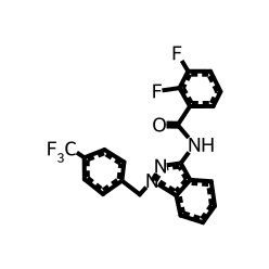 O=C(Nc1nn(Cc2ccc(C(F)(F)F)cc2)c2ccccc12)c1cccc(F)c1F